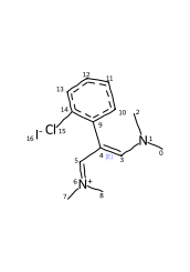 CN(C)/C=C(/C=[N+](C)C)c1ccccc1Cl.[I-]